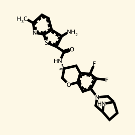 Cc1ccc2c(N)c(C(=O)N[C@H]3COc4cc(N5CC6CCC(C5)N6)c(F)c(F)c4C3)sc2n1